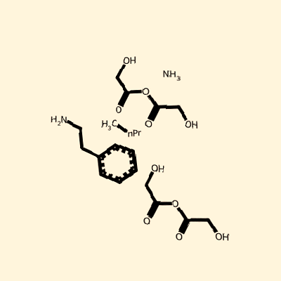 CCCC.N.NCCc1ccccc1.O=C(CO)OC(=O)CO.O=C(CO)OC(=O)CO